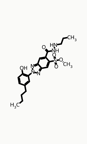 CCCCc1ccc(O)c(-n2nc3cc(C(=O)NNCCC)c(S(=O)(=O)OC)cc3n2)c1